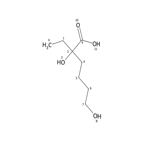 CCC(O)(CCCCO)C(=O)O